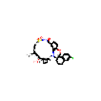 C/C1=C\[C@H](O)[C@@H]2CC[C@H]2CN2C[C@@]3(CCCc4cc(Cl)ccc43)COc3ccc(cc32)C(=O)NS(=O)(=O)CCC1